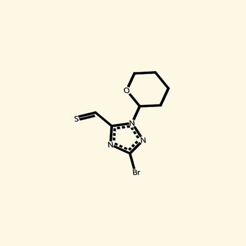 S=Cc1nc(Br)nn1C1CCCCO1